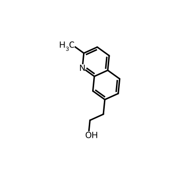 Cc1ccc2ccc(CCO)cc2n1